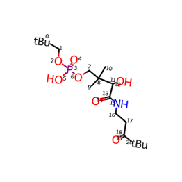 CC(C)(C)COP(=O)(O)OCC(C)(C)C(O)C(=O)NCCC(=O)C(C)(C)C